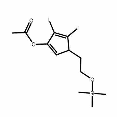 CC(=O)OC1=CC(CCO[Si](C)(C)C)C(I)=C1I